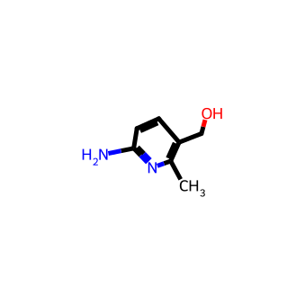 Cc1nc(N)ccc1CO